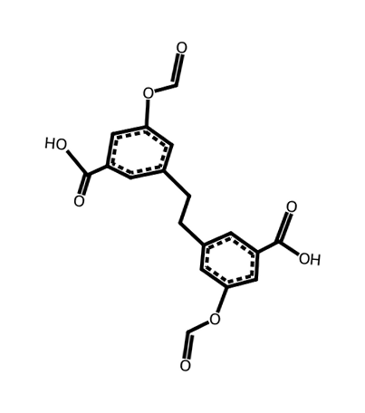 O=COc1cc(CCc2cc(OC=O)cc(C(=O)O)c2)cc(C(=O)O)c1